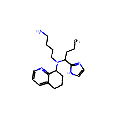 CCCC(c1ncc[nH]1)N(CCCCN)C1CCCc2cccnc21